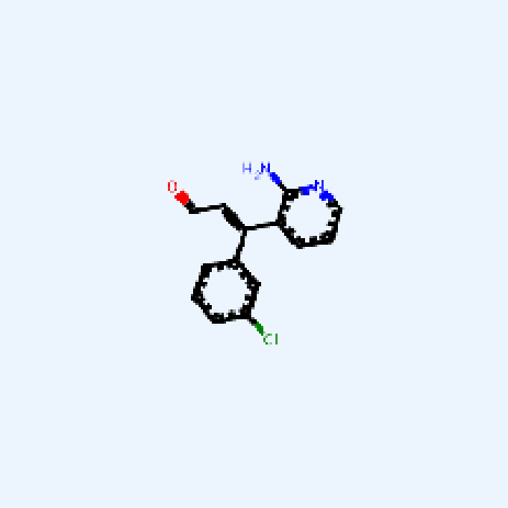 Nc1ncccc1/C(=C/C=O)c1cccc(Cl)c1